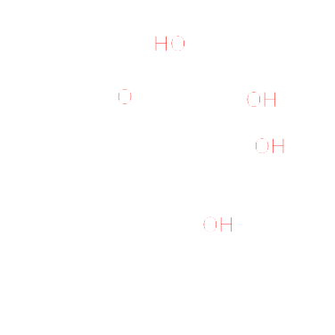 OC(O)C1(C(O)O)OCCc2ccccc21